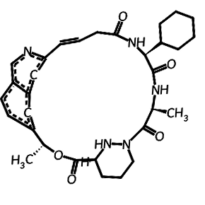 C[C@@H]1NC(=O)[C@H](C2CCCCC2)NC(=O)C/C=C/c2cc3cc(ccc3cn2)[C@@H](C)OC(=O)[C@@H]2CCCN(N2)C1=O